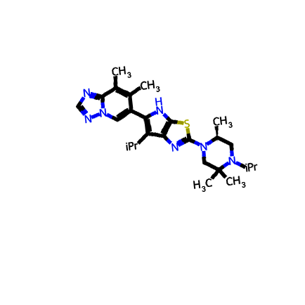 Cc1c(-c2[nH]c3sc(N4CC(C)(C)N(C(C)C)C[C@@H]4C)nc3c2C(C)C)cn2ncnc2c1C